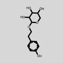 Oc1ccc(CCOC2OCC(O)C(O)C2O)cc1